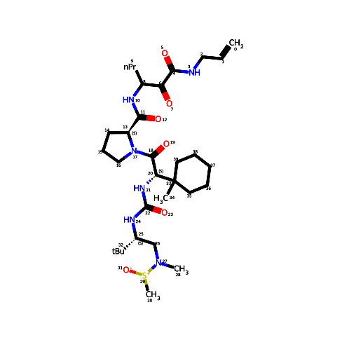 C=CCNC(=O)C(=O)C(CCC)NC(=O)[C@@H]1CCCN1C(=O)[C@@H](NC(=O)N[C@H](CN(C)[S+](C)[O-])C(C)(C)C)C1(C)CCCCC1